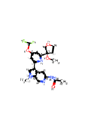 CO[C@@]1(c2cc(OC(F)F)cc(-c3cn(C)c4cnc(NC(C)=O)cc34)n2)CCOC1